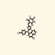 CN1C(=O)C(=Cc2ccc(N(c3ccc(Cl)cc3)c3ccc(Cl)c4ccccc34)s2)C(=O)N(C)C1=S